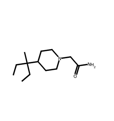 CCC(C)(CC)C1CCN(CC(N)=O)CC1